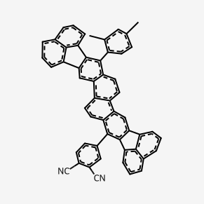 Cc1ccc(-c2c3c(cc4c2ccc2c5cc6c(c(-c7ccc(C#N)c(C#N)c7)c5ccc42)-c2cccc4cccc-6c24)-c2cccc4cccc-3c24)c(C)c1